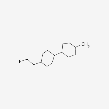 CC1CCC(C2CCC(CCF)CC2)CC1